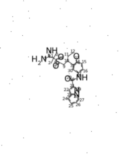 CC(C)(C(=N)N)S(=O)(=O)CC1CCOc2ccc(NC(=O)c3cc4ccccn4n3)cc21